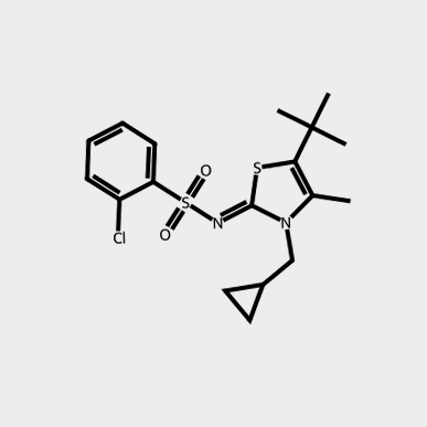 Cc1c(C(C)(C)C)s/c(=N\S(=O)(=O)c2ccccc2Cl)n1CC1CC1